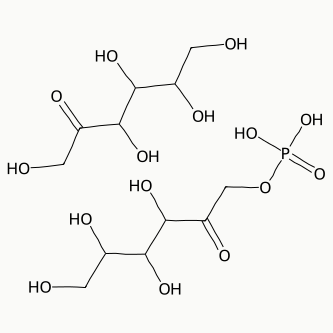 O=C(CO)C(O)C(O)C(O)CO.O=C(COP(=O)(O)O)C(O)C(O)C(O)CO